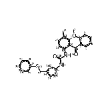 COc1ccccc1C(=O)c1cc(C)ccc1NC(=O)Nc1ncc(CSc2cccnc2)s1